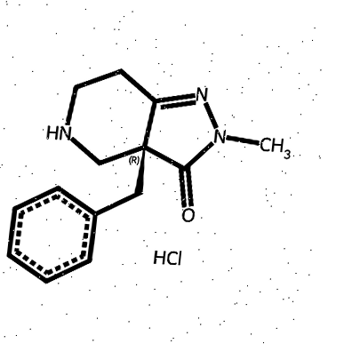 CN1N=C2CCNC[C@@]2(Cc2ccccc2)C1=O.Cl